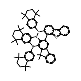 CC1(C)CCC(C)(C)c2cc(N3B4c5cc6c(cc5N(c5ccc7c(c5)C(C)(C)CCC7(C)C)c5c4c(cc4c5C(C)(C)c5ccccc5-4)-c4c3ccc3c4oc4ccccc43)C(C)(C)CCC6(C)C)ccc21